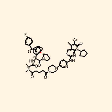 CC(=O)c1c(C)c2cnc(Nc3ccc(N4CCN(C(=O)CCCC(=O)N(C)[C@@H](C)C(=O)N[C@H](C(=O)N5CCC[C@H]5c5nc(C(=O)c6ccc(F)cc6)cs5)C5CCCCC5)CC4)cn3)nc2n(C2CCCC2)c1=O